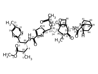 COC(=O)[C@@H](C)C[C@H](Cc1ncc(C)cn1)NC(=O)c1csc([C@@H](C[C@H](C(C)C)N(C)C(=O)[C@@H](NC(=O)[C@H]2CC3CCN2CC3)C2COC2)OC(C)=O)n1